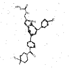 CC(C)(C)OC(=O)NCc1cc2cc(-c3ccc(C(=O)N4CCC(F)(F)CC4)cc3)cc(-c3ccc(F)cc3)c2[nH]1